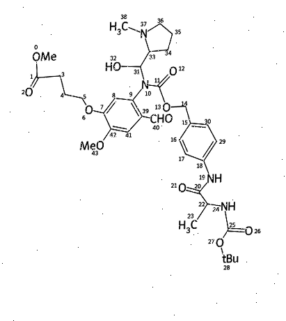 COC(=O)CCCOc1cc(N(C(=O)OCc2ccc(NC(=O)C(C)NC(=O)OC(C)(C)C)cc2)C(O)C2CCCN2C)c(C=O)cc1OC